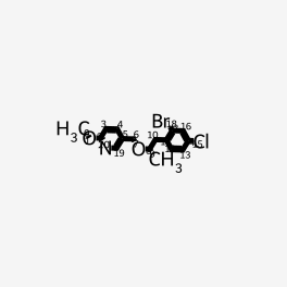 COc1ccc(COC(C)Cc2ccc(Cl)cc2Br)cn1